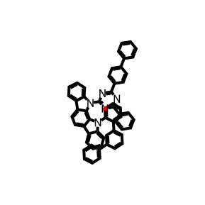 c1ccc(-c2ccc(-c3nc(-c4ccccc4)nc(-n4c5ccccc5c5ccc6c7ccccc7n(-c7ccccc7-c7cccc(-c8ccccc8)c7)c6c54)n3)cc2)cc1